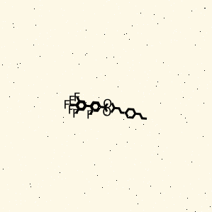 CCCC1CCC(CCC2COC(c3ccc(-c4cc(F)c(C(F)(F)F)c(F)c4)c(F)c3)OC2)CC1